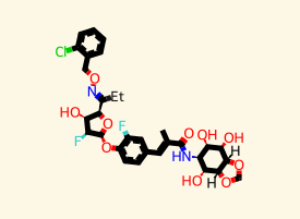 CCC(=NOCc1ccccc1Cl)[C@H]1O[C@@H](Oc2ccc(C=C(C)C(=O)N[C@@H]3[C@H](O)[C@@H](O)[C@H]4OCO[C@H]4[C@@H]3O)cc2F)[C@@H](F)[C@@H]1O